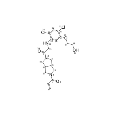 C=CC(=O)N1CC2CN(C(=O)CNc3cc(OCCO)c(Cl)cc3Cl)CC2C1